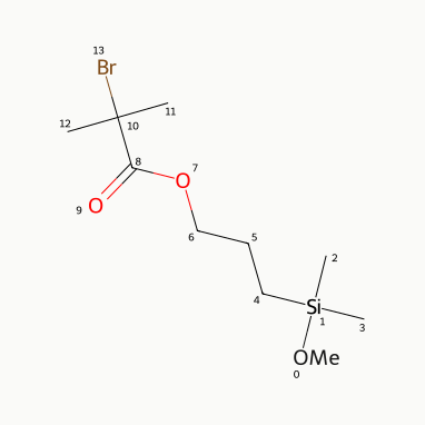 CO[Si](C)(C)CCCOC(=O)C(C)(C)Br